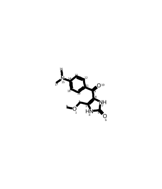 COCc1[nH]c(=O)[nH]c1C(=O)c1ccc(N(C)C)cc1